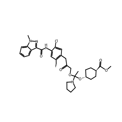 COC(=O)[C@H]1CC[C@H](OC(C)(OCC(=O)Cc2cc(Cl)c(NC(=O)c3nn(C)c4ccccc34)cc2F)N2CCCC2)CC1